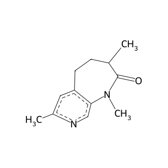 Cc1cc2c(cn1)N(C)C(=O)C(C)CC2